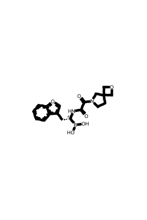 O=C(N[C@@H](Cc1coc2ccccc12)B(O)O)C(=O)N1CCC2(COC2)C1